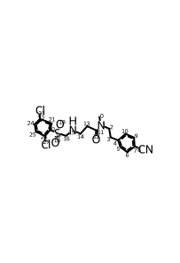 CN(CCc1ccc(C#N)cc1)C(=O)CCNCS(=O)(=O)c1cc(Cl)ccc1Cl